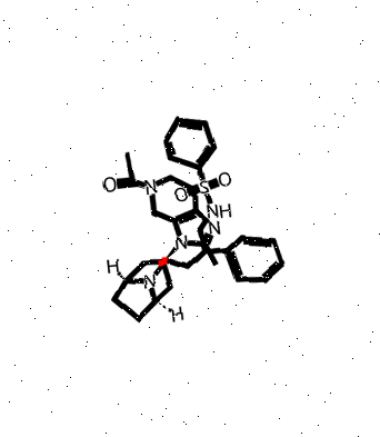 CC(=O)N1CCc2nc(C)n([C@H]3C[C@H]4CC[C@@H](C3)N4CCC(CNS(=O)(=O)c3ccccc3)c3ccccc3)c2C1